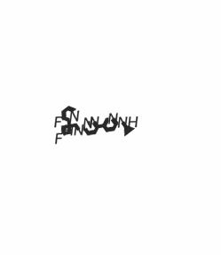 Fc1cccnc1C1(CNc2ccc(-c3ccc(NC4CC4)nc3)nn2)CC(F)C1